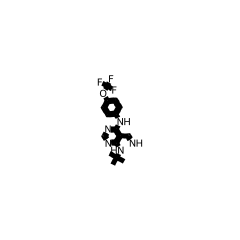 CC(C)(C)Nc1ncnc(Nc2ccc(OC(F)(F)F)cc2)c1C=N